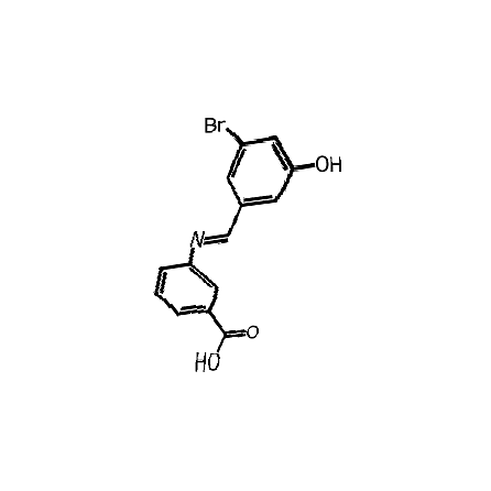 O=C(O)c1cccc(N=Cc2cc(O)cc(Br)c2)c1